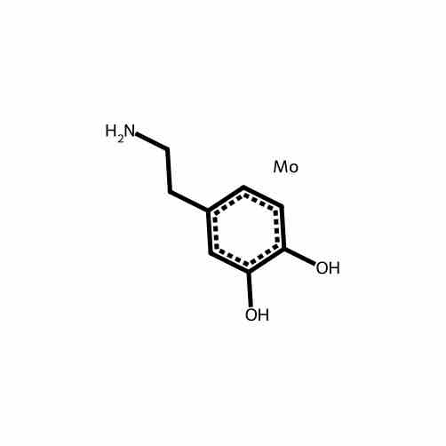 NCCc1ccc(O)c(O)c1.[Mo]